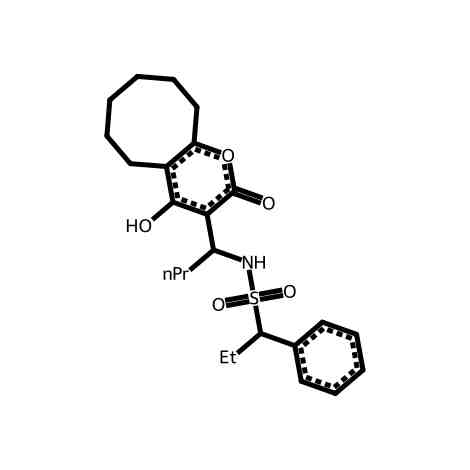 CCCC(NS(=O)(=O)C(CC)c1ccccc1)c1c(O)c2c(oc1=O)CCCCCC2